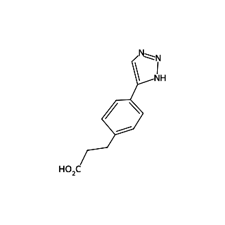 O=C(O)CCc1ccc(-c2cnn[nH]2)cc1